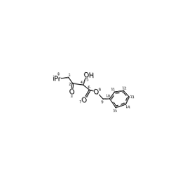 CC(C)CC(=O)C(O)C(=O)OCc1ccccc1